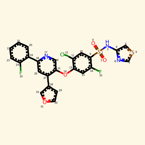 O=S(=O)(Nc1cscn1)c1cc(Cl)c(Oc2cnc(-c3ccccc3F)cc2-c2ccoc2)cc1F